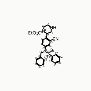 CCOC(=O)N1CCNCC1c1ccc(N(Cc2ccccc2)S(=O)(=O)c2ccccc2)cc1C#N